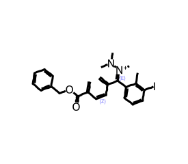 C=C(/C=C\C(=C)/C(c1cccc(I)c1C)=[N+](/C)N(C)C)C(=O)OCc1ccccc1